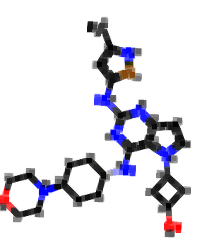 Cc1cc(Nc2nc(N[C@H]3CC[C@H](N4CCOCC4)CC3)c3c(ccn3C3CC(O)C3)n2)sn1